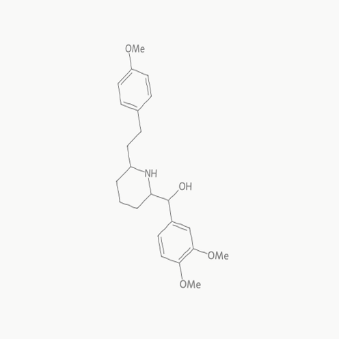 COc1ccc(CCC2CCCC(C(O)c3ccc(OC)c(OC)c3)N2)cc1